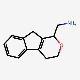 NCC1OCCC2=C1Cc1ccccc12